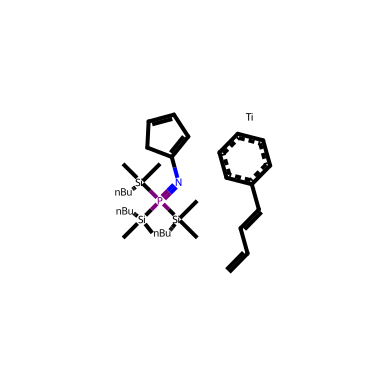 C=CC=Cc1ccccc1.CCCC[Si](C)(C)P(=NC1=CC=CC1)([Si](C)(C)CCCC)[Si](C)(C)CCCC.[Ti]